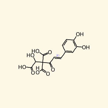 O=C(O)C(O)C(C(=O)O)(C(=O)O)C(=O)/C=C/c1ccc(O)c(O)c1